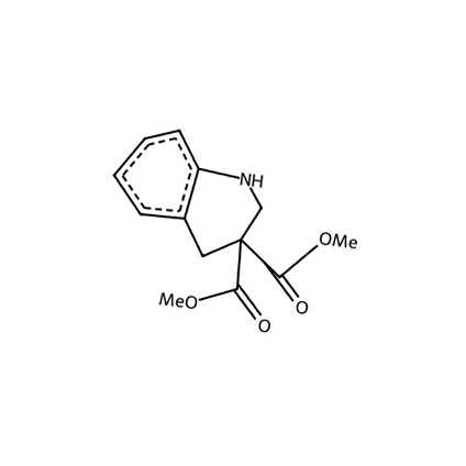 COC(=O)C1(C(=O)OC)CNc2ccccc2C1